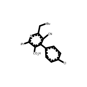 CC(C)c1nc(CC(C)(C)C)c(C#N)c(-c2ccc(Cl)cc2)c1C(=O)O